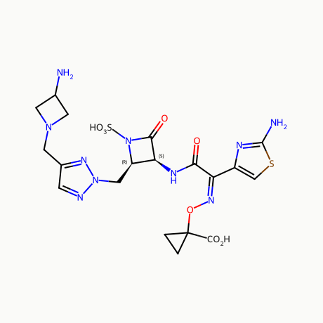 Nc1nc(C(=NOC2(C(=O)O)CC2)C(=O)N[C@@H]2C(=O)N(S(=O)(=O)O)[C@@H]2Cn2ncc(CN3CC(N)C3)n2)cs1